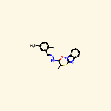 Bc1ccc(C)c(/C=N/NC(=O)C(C)Sc2nc3ccccc3[nH]2)c1